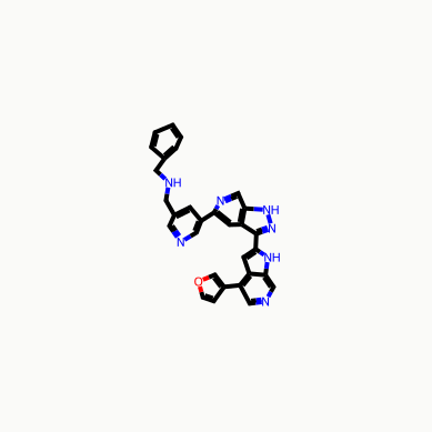 c1ccc(CNCc2cncc(-c3cc4c(-c5cc6c(-c7ccoc7)cncc6[nH]5)n[nH]c4cn3)c2)cc1